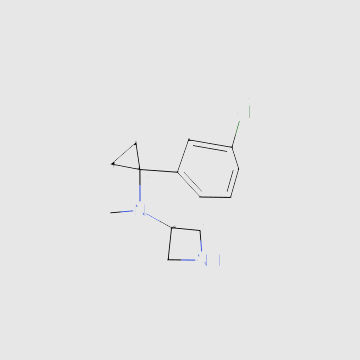 CN(C1CNC1)C1(c2cccc(Cl)c2)CC1